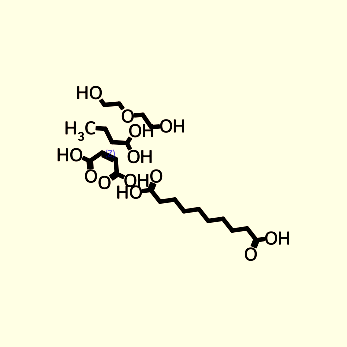 CCCC(O)O.O=C(O)/C=C\C(=O)O.O=C(O)CCCCCCCCC(=O)O.OCCOCCO